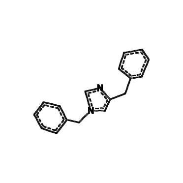 c1ccc(Cc2cn(Cc3ccccc3)cn2)cc1